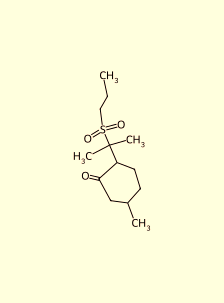 CCCS(=O)(=O)C(C)(C)C1CCC(C)CC1=O